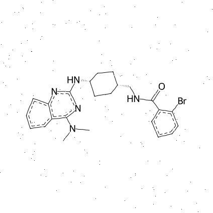 CN(C)c1nc(N[C@H]2CC[C@@H](CNC(=O)c3ccccc3Br)CC2)nc2ccccc12